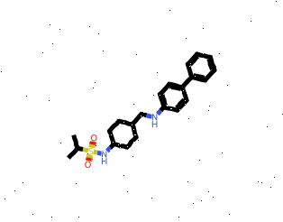 CC(C)S(=O)(=O)NC1CCC(CNc2ccc(-c3ccccc3)cc2)CC1